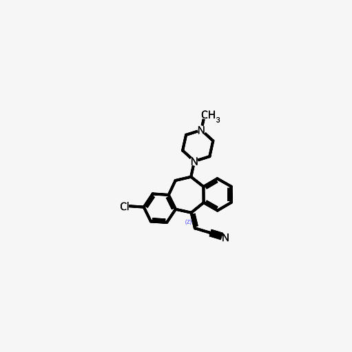 CN1CCN(C2Cc3cc(Cl)ccc3/C(=C/C#N)c3ccccc32)CC1